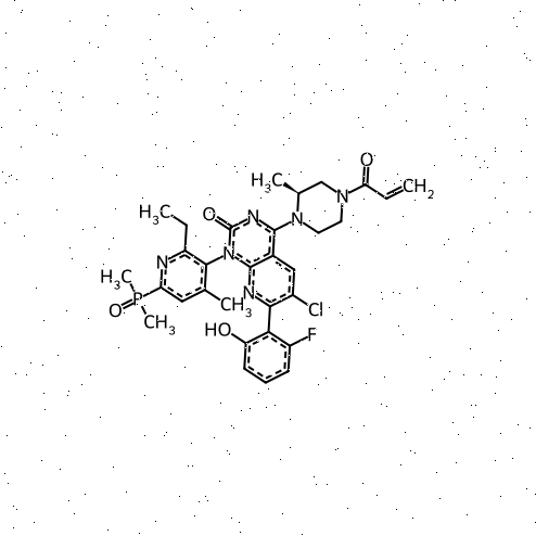 C=CC(=O)N1CCN(c2nc(=O)n(-c3c(C)cc(P(C)(C)=O)nc3CC)c3nc(-c4c(O)cccc4F)c(Cl)cc23)[C@@H](C)C1